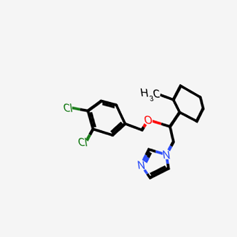 CC1CCCCC1C(Cn1ccnc1)OCc1ccc(Cl)c(Cl)c1